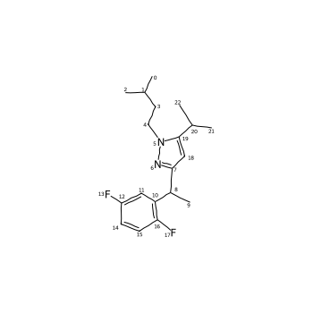 CC(C)CCn1nc(C(C)c2cc(F)ccc2F)cc1C(C)C